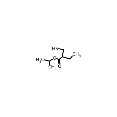 CCC(CS)C(=O)OC(C)C